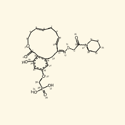 O=C1OCC/C=C/CC/C=C/C(=N\OCC(=O)N2CCCCC2)Cc2cc(OCP(=O)(O)O)cc(O)c21